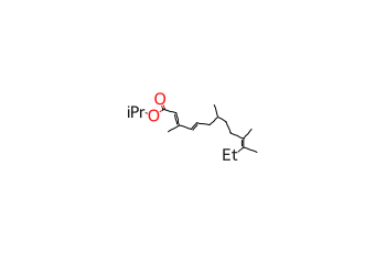 CCC(C)=C(C)CCC(C)CC=CC(C)=CC(=O)OC(C)C